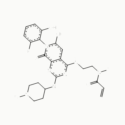 C=CC(=O)N(CC)CCNc1nc(NC2CCN(C(C)=O)CC2)nc2c(=O)n(-c3c(O)cccc3F)c(C(F)(F)F)cc12